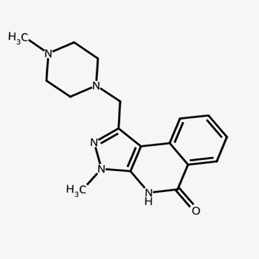 CN1CCN(Cc2nn(C)c3[nH]c(=O)c4ccccc4c23)CC1